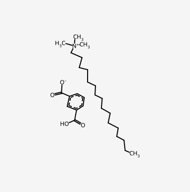 CCCCCCCCCCCCCCCC[N+](C)(C)C.O=C([O-])c1cccc(C(=O)O)c1